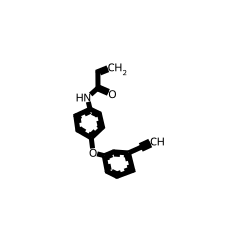 C#Cc1cccc(Oc2ccc(NC(=O)C=C)cc2)c1